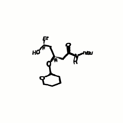 CCCCNC(=O)C[C@@H](C[C@H](O)CC)OC1CCCCO1